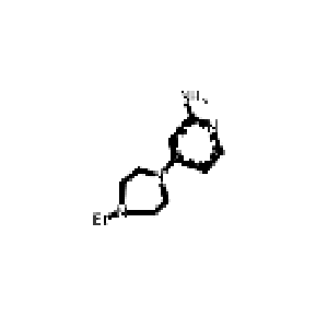 CCN1CCN(c2ccnc(N)c2)CC1